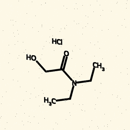 CCN(CC)C(=O)CO.Cl